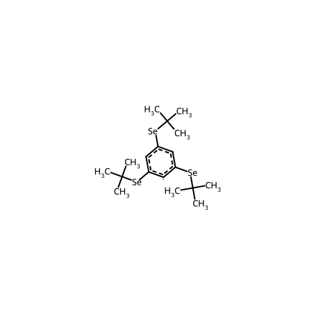 CC(C)(C)[Se]c1[c]c([Se]C(C)(C)C)cc([Se]C(C)(C)C)c1